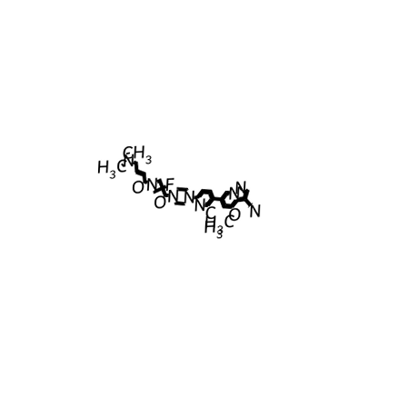 COc1cc(-c2ccc(N3CCN(C(=O)C4(F)CN(C(=O)/C=C/CN(C)C)C4)CC3)nc2C)cn2ncc(C#N)c12